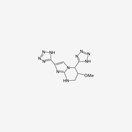 COC1CNc2nc(-c3nnn[nH]3)cn2C1c1nnn[nH]1